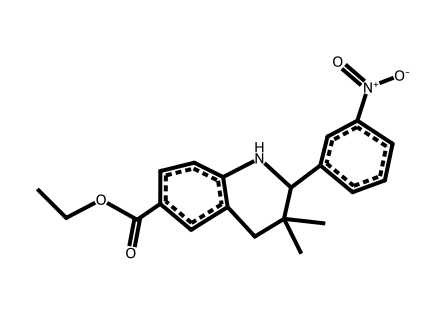 CCOC(=O)c1ccc2c(c1)CC(C)(C)C(c1cccc([N+](=O)[O-])c1)N2